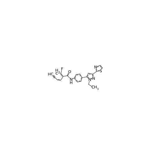 C#C/C=C\C(C(=O)Nc1ccc(-c2cc(-c3nccs3)nn2CC)cc1)=C(/C)F